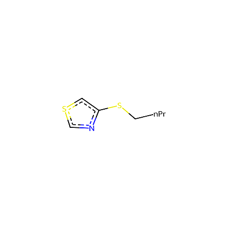 [CH2]CCCSc1cscn1